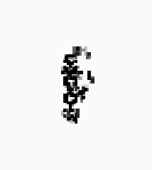 Bc1ccc(S(=O)(=O)N2CCN(c3ccc(-c4nnco4)cc3C(F)(F)F)C[C@H]2C)s1